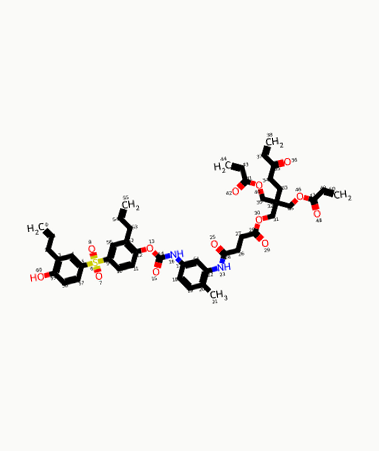 C=CCc1cc(S(=O)(=O)c2ccc(OC(=O)Nc3ccc(C)c(NC(=O)CCC(=O)OCC(CCC(=O)C=C)(COC(=O)C=C)COC(=O)C=C)c3)c(CC=C)c2)ccc1O